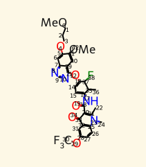 COCCCOc1cc2ncnc(OC3=CC=C(NC(=O)c4c(C)n(C)c5ccc(OC(F)(F)F)cc5c4=O)C(C)C3F)c2cc1OC